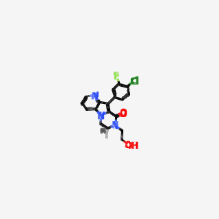 C[C@@H]1Cn2c(c(-c3ccc(Cl)c(F)c3)c3ncccc32)C(=O)N1CCO